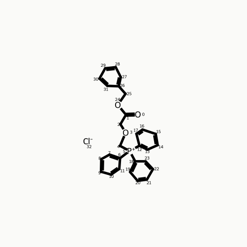 O=C(COC[P+](c1ccccc1)(c1ccccc1)c1ccccc1)OCc1ccccc1.[Cl-]